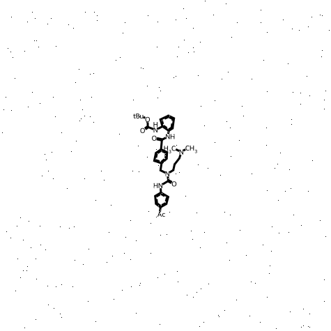 CC(=O)c1ccc(NC(=O)N(CCCN(C)C)Cc2ccc(C(=O)Nc3ccccc3NC(=O)OC(C)(C)C)cc2)cc1